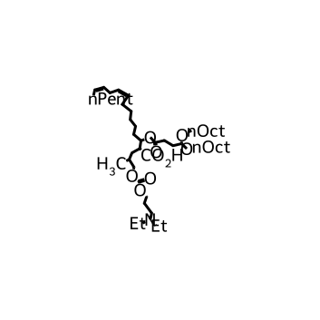 CCCCC/C=C\C/C=C\CCCCCC(OC(=O)CCC(OCCCCCCCC)OCCCCCCCC)C(CC(C)COC(=O)OCCCN(CC)CC)C(=O)O